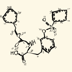 O=C(N[C@@H](Cc1cccc(OS(=O)(=O)c2ccccc2)c1)C(=O)O)OCc1ccccc1